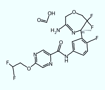 C[C@]1(c2cc(NC(=O)c3cnc(OCC(F)F)cn3)ccc2F)N=C(N)COCC1(F)F.O=CO